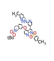 Cc1ccc(S(=O)(=O)n2cc(-c3ccnc(NCc4ccc(C)cn4)c3)c3c(Oc4ccc5c(c4)CN(C(=O)OC(C)(C)C)CC5)ccnc32)cc1